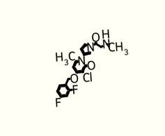 CNCC(=O)n1ccc(-n2c(C)cc(OCc3ccc(F)cc3F)c(Cl)c2=O)c1